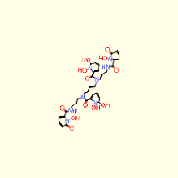 O=C(NCCCN(CCCCN(CCCNC(=O)c1cccc(=O)n1O)C(=O)C1=CC=CC(O)N1O)C(=O)C1=CC=CC(O)N1O)c1cccc(=O)n1O